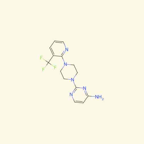 Nc1ccnc(N2CCN(c3ncccc3C(F)(F)F)CC2)n1